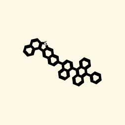 c1ccc(-c2c3ccccc3c(-c3ccc(-c4ccc5cc6c(cc5c4)sc4ccc5ccccc5c46)c4ccccc34)c3ccccc23)cc1